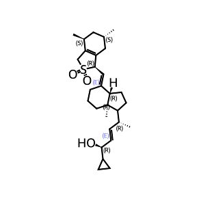 C[C@@H]1CC2=C(CS(=O)(=O)[C@@H]2/C=C2\CCC[C@]3(C)C([C@H](C)/C=C/[C@H](O)C4CC4)CC[C@@H]23)[C@@H](C)C1